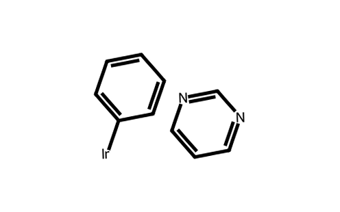 [Ir][c]1ccccc1.c1cncnc1